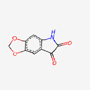 O=C1Nc2cc3c(cc2C1=O)OCO3